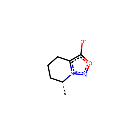 C[C@@H]1CCCc2c([O-])on[n+]21